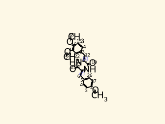 COc1ccc(/C=c2\[nH]c(=O)/c(=C/c3ccc(OC)c(OC)c3)[nH]c2=O)cc1